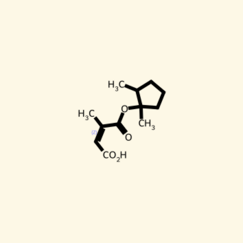 C/C(=C/C(=O)O)C(=O)OC1(C)CCCC1C